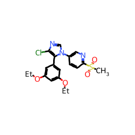 CCOc1cc(OCC)cc(-c2c(Cl)ncn2-c2ccc(S(C)(=O)=O)nc2)c1